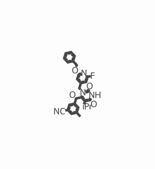 Cc1cc(C#N)cc(C(=O)c2c(C(C)C)c(=O)[nH]c(=O)n2Cc2cc(F)nc(OCc3ccccc3)c2)c1